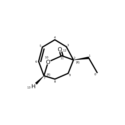 CC[C@@]12CCC=C[C@@H](CC1)OC2=O